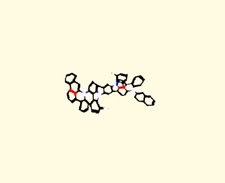 CC(C)(C)c1cccc2c3c(N(c4ccc5ccccc5c4)c4ccccc4-c4ccccc4)ccc4c5cc6c(cc5n(c12)c43)c1ccc(N(c2ccc3ccccc3c2)c2ccccc2-c2ccccc2)c2c3cccc(C(C)(C)C)c3n6c12